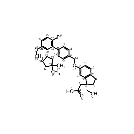 CC[C@@]1(CC(=O)O)CCc2ccc(OCc3ccc(-c4cc(OC)ccc4F)c([C@H]4CCCC4(C)C)c3)cc21